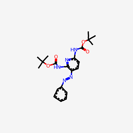 CC(C)(C)OC(=O)Nc1ccc(N=Nc2ccccc2)c(NC(=O)OC(C)(C)C)n1